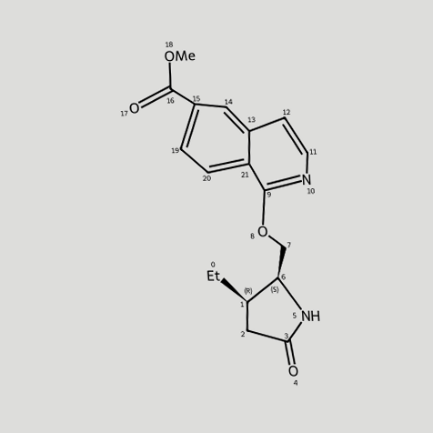 CC[C@@H]1CC(=O)N[C@@H]1COc1nccc2cc(C(=O)OC)ccc12